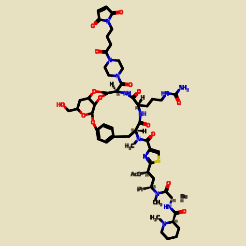 CC[C@H](C)[C@H](NC(=O)[C@H]1CCCCN1C)C(=O)N(C)[C@H](C[C@@H](OC(C)=O)c1nc(C(=O)N(C)[C@H]2Cc3ccc(cc3)OC3OC(CO)CC4OC(OC43)[C@@H](C(=O)N3CCN(C(=O)CCCN4C(=O)C=CC4=O)CC3)NC(=O)[C@H](CCCNC(N)=O)NC2=O)cs1)C(C)C